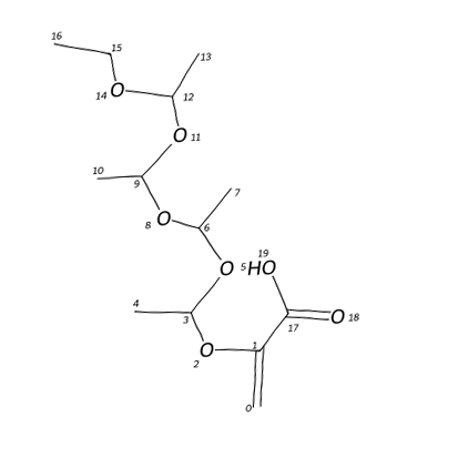 C=C(OC(C)OC(C)OC(C)OC(C)OCC)C(=O)O